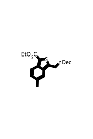 CCCCCCCCCCCc1sc(C(=O)OCC)c2ccc(C)cc12